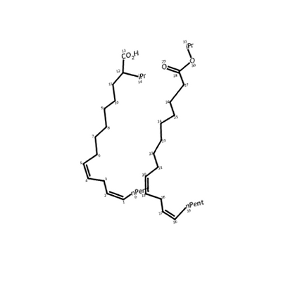 CCCCC/C=C\C/C=C\CCCCCCC(C(=O)O)C(C)C.CCCCC/C=C\C/C=C\CCCCCCCC(=O)OC(C)C